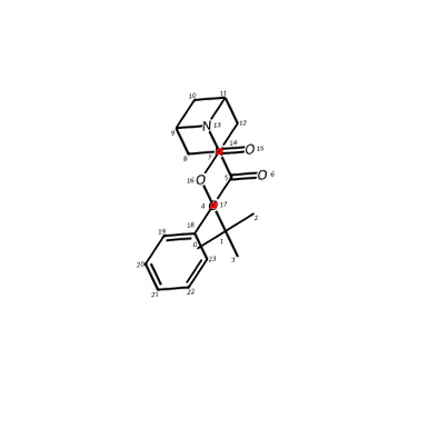 CC(C)(C)OC(=O)N1CC2CC(C1)N2C(=O)OCc1ccccc1